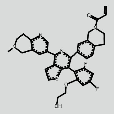 C=CC(=O)N1CCc2ccc(-c3nc(-c4cnc5c(c4)CN(C)CC5)c4ccsc4c3-c3c(F)cc(F)cc3OCCO)cc2C1